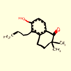 C=CCc1c(O)ccc2c1CCC(C)(C)C2=O